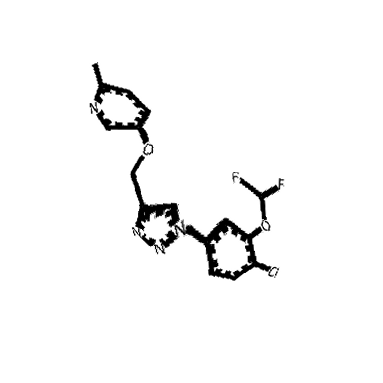 Cc1ccc(OCc2cn(-c3ccc(Cl)c(OC(F)F)c3)nn2)cn1